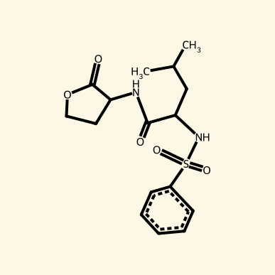 CC(C)CC(NS(=O)(=O)c1ccccc1)C(=O)NC1CCOC1=O